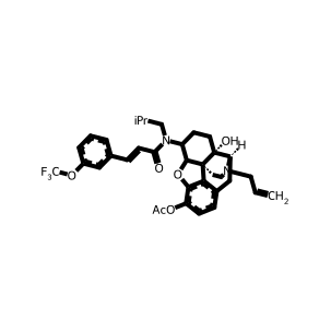 C=CCN1CC[C@]23c4c5ccc(OC(C)=O)c4OC2C(N(CC(C)C)C(=O)/C=C/c2cccc(OC(F)(F)F)c2)CC[C@@]3(O)[C@H]1C5